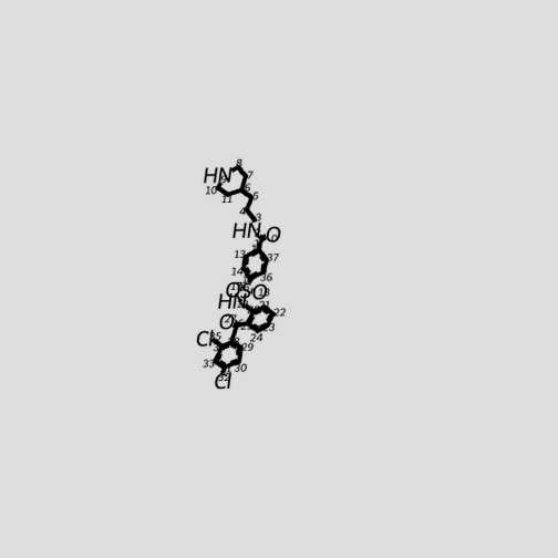 O=C(NCCCC1CCNCC1)c1ccc(S(=O)(=O)Nc2ccccc2C(=O)c2ccc(Cl)cc2Cl)cc1